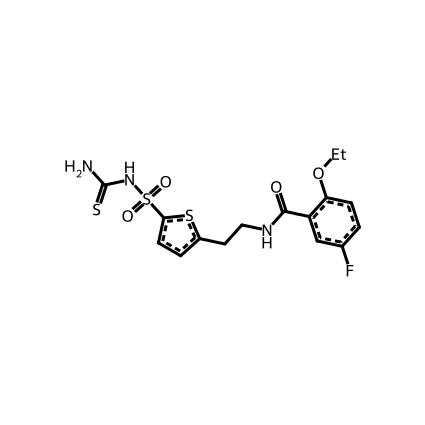 CCOc1ccc(F)cc1C(=O)NCCc1ccc(S(=O)(=O)NC(N)=S)s1